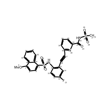 COc1ccc(S(=O)(=O)Nc2ccc(F)cc2C#Cc2cccc(C(=O)NS(C)(=O)=O)n2)c2ccccc12